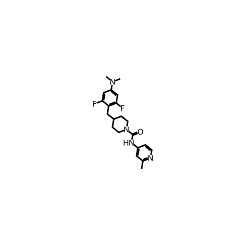 Cc1cc(NC(=O)N2CCC(Cc3c(F)cc(N(C)C)cc3F)CC2)ccn1